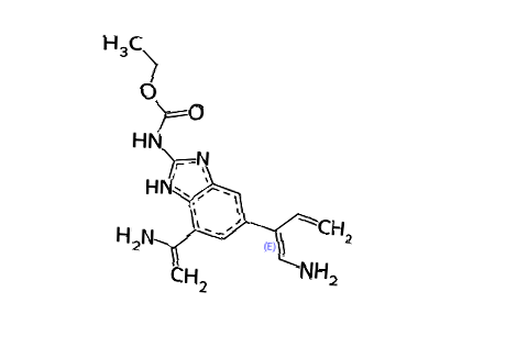 C=C/C(=C\N)c1cc(C(=C)N)c2[nH]c(NC(=O)OCC)nc2c1